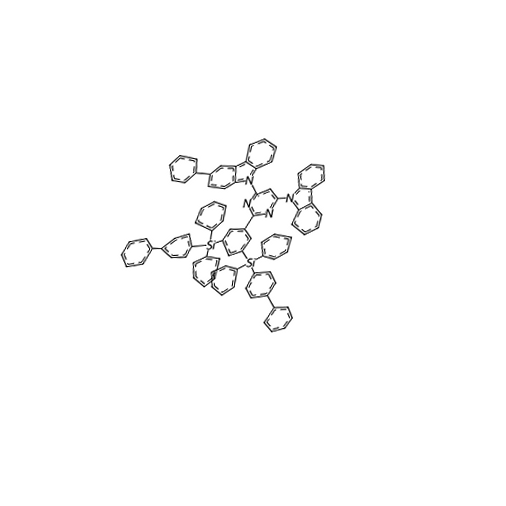 c1ccc(-c2ccc([Si](c3ccccc3)(c3ccccc3)c3cc(-c4nc(-n5c6ccccc6c6ccccc65)cc(-n5c6ccccc6c6cc(-c7ccccc7)ccc65)n4)cc([Si](c4ccccc4)(c4ccccc4)c4ccc(-c5ccccc5)cc4)c3)cc2)cc1